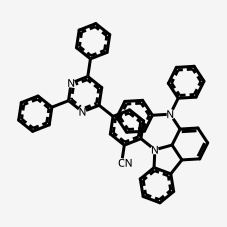 N#Cc1cc(-c2cc(-c3ccccc3)nc(-c3ccccc3)n2)ccc1N1c2ccccc2C2C=CC=C(N(c3ccccc3)c3ccccc3)C21